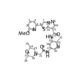 COc1cccc(-c2cn3ncc(C(=O)Nc4cc(NC(=O)CN5CC(C)OC(C)C5)cnc4C)c3s2)n1